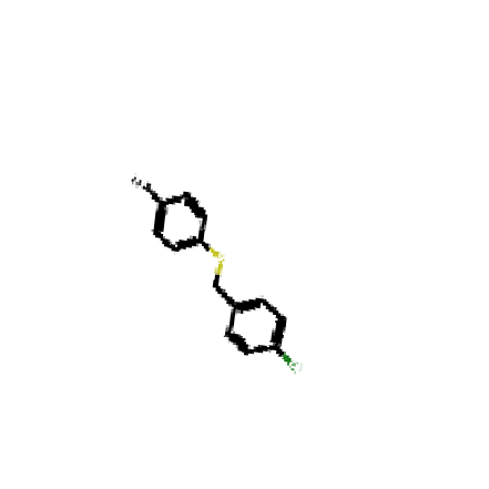 CC(=O)c1ccc(SCc2ccc(Cl)cc2)cc1